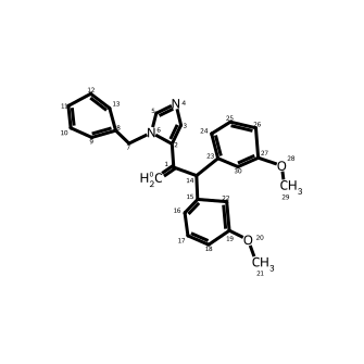 C=C(c1cncn1Cc1ccccc1)C(c1cccc(OC)c1)c1cccc(OC)c1